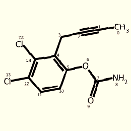 CC#CCc1c(OC(N)=O)ccc(Cl)c1Cl